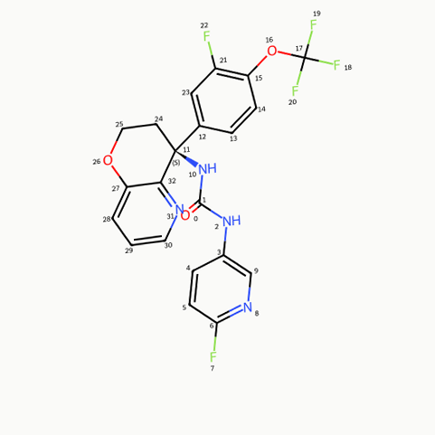 O=C(Nc1ccc(F)nc1)N[C@]1(c2ccc(OC(F)(F)F)c(F)c2)CCOc2cccnc21